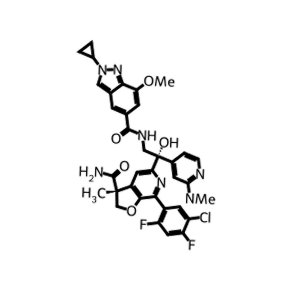 CNc1cc([C@](O)(CNC(=O)c2cc(OC)c3nn(C4CC4)cc3c2)c2cc3c(c(-c4cc(Cl)c(F)cc4F)n2)OC[C@]3(C)C(N)=O)ccn1